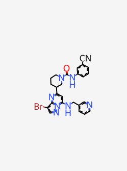 N#Cc1cccc(NC(=O)N2CCCC(c3cc(NCc4cccnc4)n4ncc(Br)c4n3)C2)c1